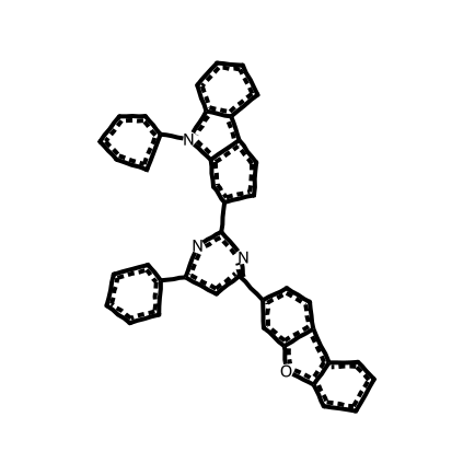 c1ccc(-c2cc(-c3ccc4c(c3)oc3ccccc34)nc(-c3ccc4c5ccccc5n(-c5ccccc5)c4c3)n2)cc1